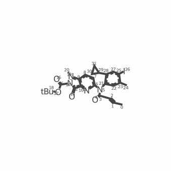 CC#CC(=O)N(c1ccc2c(n1)c(=O)n(C(=O)OC(C)(C)C)n2C)c1cc(C)c(I)cc1C1CC1